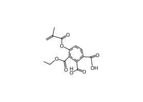 C=C(C)C(=O)Oc1ccc(C(=O)O)c(C(=O)O)c1C(=O)OCC